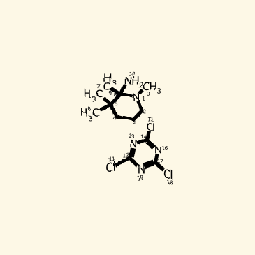 CN1CCCC(C)(C)C1(C)N.Clc1nc(Cl)nc(Cl)n1